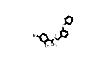 CCc1ccc(C(C)NCc2cccc(Oc3ccccc3)c2)c(CC)c1